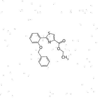 CCOC(=O)c1csc(-c2ccccc2OCc2ccccc2)n1